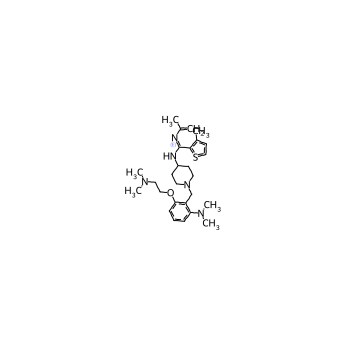 C=C(C)/N=C(/NC1CCN(Cc2c(OCCN(C)C)cccc2N(C)C)CC1)c1sccc1C